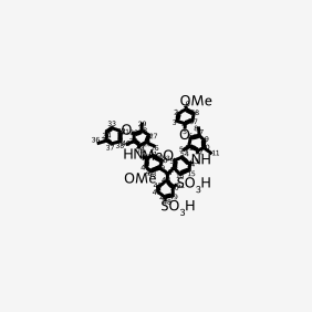 COc1ccc(Oc2c(C)cc(C)c(Nc3ccc(C(c4ccc(Nc5c(C)cc(C)c(Oc6ccc(C)cc6)c5C)cc4OC)c4ccc(S(=O)(=O)O)cc4S(=O)(=O)O)c(OC)c3)c2C)cc1